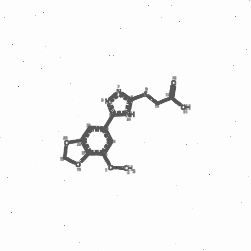 COc1cc(-c2nnc(SCC(=O)O)[nH]2)cc2c1OCO2